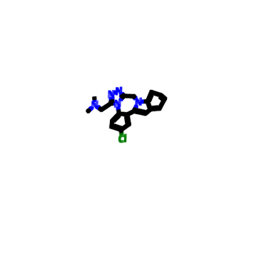 CN(C)Cc1nnc2n1-c1ccc(Cl)cc1-c1cc3ccccc3n1C2